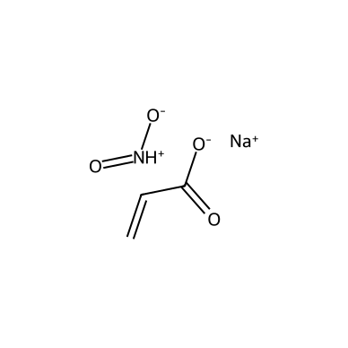 C=CC(=O)[O-].O=[NH+][O-].[Na+]